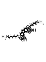 NCCCCCCOc1cc2c(cc1S(=O)(=O)O)-c1cc(S(=O)(=O)O)c(OCCCCCCN)cc1C2